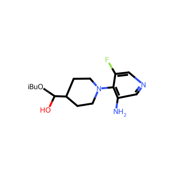 CC(C)COC(O)C1CCN(c2c(N)cncc2F)CC1